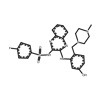 CN1CCN(Cc2ccc(O)cc2Nc2nc3ccccc3nc2NS(=O)(=O)c2ccc(F)cc2)CC1